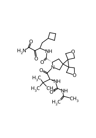 C=C(C)NC(=O)N[C@H](C(=O)N1CC2(C[C@H]1C(=O)NC(CC1CCC1)C(=O)C(N)=O)C1(COC1)C21COC1)C(C)(C)C